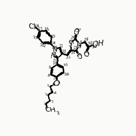 CCCCCCOc1ccc(-c2nn(-c3ccc(Cl)cc3)cc2/C=C2\SC(=O)N(CC(=O)O)C2=O)cc1